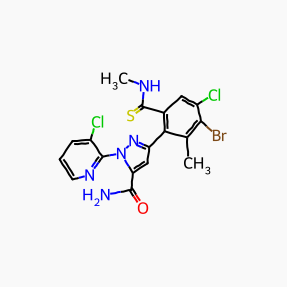 CNC(=S)c1cc(Cl)c(Br)c(C)c1-c1cc(C(N)=O)n(-c2ncccc2Cl)n1